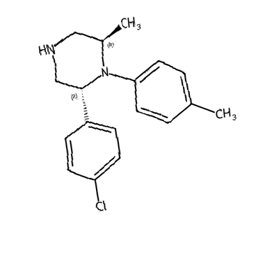 Cc1ccc(N2[C@H](C)CNC[C@H]2c2ccc(Cl)cc2)cc1